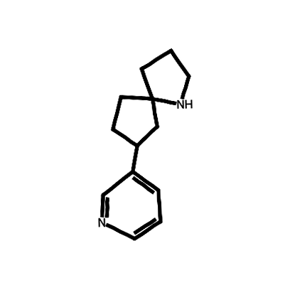 c1cncc(C2CCC3(CCCN3)C2)c1